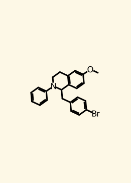 COc1ccc2c(c1)CCN(c1ccccc1)C2Cc1ccc(Br)cc1